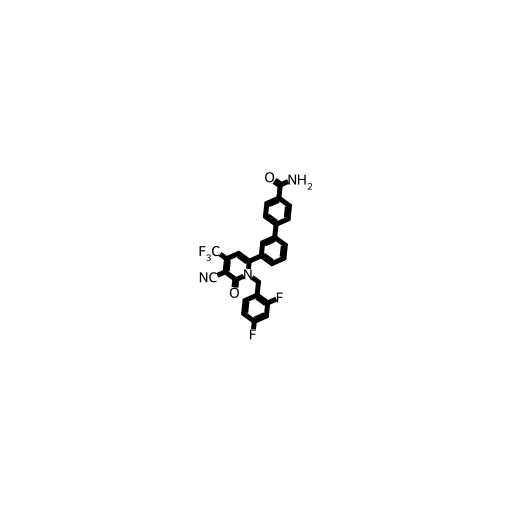 N#Cc1c(C(F)(F)F)cc(-c2cccc(-c3ccc(C(N)=O)cc3)c2)n(Cc2ccc(F)cc2F)c1=O